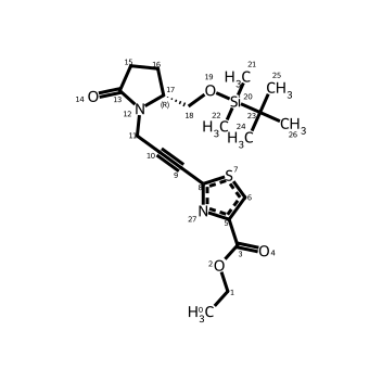 CCOC(=O)c1csc(C#CCN2C(=O)CC[C@@H]2CO[Si](C)(C)C(C)(C)C)n1